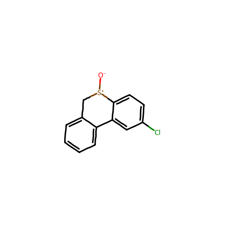 [O-][S+]1Cc2ccccc2-c2cc(Cl)ccc21